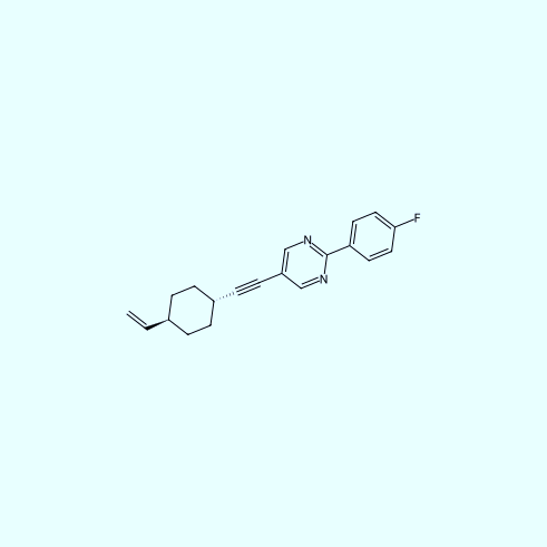 C=C[C@H]1CC[C@H](C#Cc2cnc(-c3ccc(F)cc3)nc2)CC1